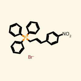 O=[N+]([O-])c1ccc(/C=C/C[P+](c2ccccc2)(c2ccccc2)c2ccccc2)cc1.[Br-]